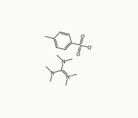 CN(C)C(N(C)C)=[N+](C)C.Cc1ccc(S(=O)(=O)[O-])cc1